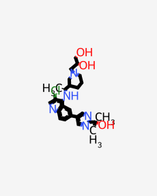 C[C@@H](Nc1c(Cl)cnc2ccc(-c3cnc(C(C)(C)O)nc3)cc12)C1CCCN(CC(O)CO)C1